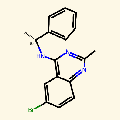 Cc1nc(N[C@H](C)c2ccccc2)c2cc(Br)ccc2n1